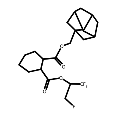 O=C(OCC12CC3CC(CC(C3)C1)C2)C1CCCCC1C(=O)OC(CF)C(F)(F)F